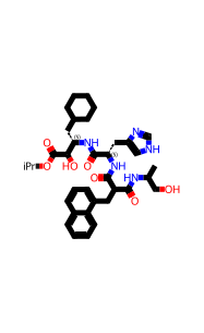 CC(CO)NC(=O)C(Cc1cccc2ccccc12)C(=O)N[C@@H](Cc1c[nH]cn1)C(=O)N[C@@H](CC1CCCCC1)C(O)C(=O)OC(C)C